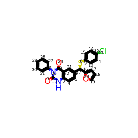 O=c1[nH]c2ccc(C(Sc3ccc(Cl)cc3)c3ccco3)cc2c(=O)n1-c1[c]cccc1